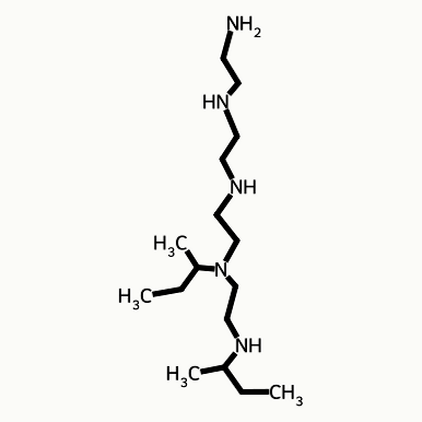 CCC(C)NCCN(CCNCCNCCN)C(C)CC